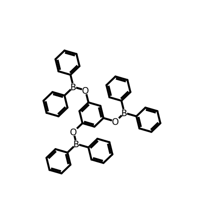 c1ccc(B(Oc2cc(OB(c3ccccc3)c3ccccc3)cc(OB(c3ccccc3)c3ccccc3)c2)c2ccccc2)cc1